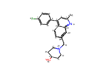 CC(=O)c1cc(-c2ccc(F)cc2)c2ccc(CN3CCC(O)CC3)cc2n1